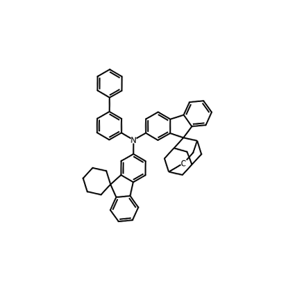 c1ccc(-c2cccc(N(c3ccc4c(c3)C3(CCCCC3)c3ccccc3-4)c3ccc4c(c3)C3(c5ccccc5-4)C4CCC5CC(C4)CC3C5)c2)cc1